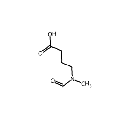 CN([C]=O)CCCC(=O)O